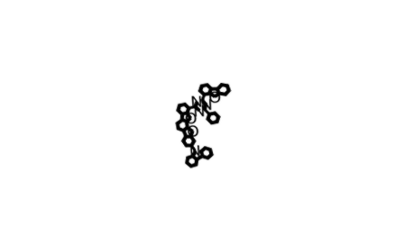 c1ccc(-c2nc(-c3cccc4c3oc3ccccc34)nc(-c3cccc4c3oc3c4ccc4c5ccc(-n6c7ccccc7c7ccccc76)cc5oc43)n2)cc1